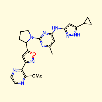 COc1nccnc1-c1cc(C2CCCN2c2nc(C)cc(Nc3cc(C4CC4)[nH]n3)n2)on1